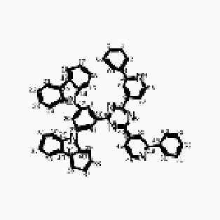 c1ccc(-c2cc(-c3nc(-c4cc(-n5c6ccccc6c6ccccc65)cc(-n5c6ccccc6c6ccccc65)c4)nc(-c4ccnc(-c5ccccc5)c4)n3)ccn2)cc1